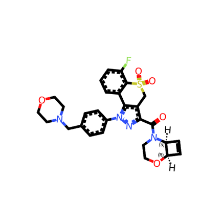 O=C(c1nn(-c2ccc(CN3CCOCC3)cc2)c2c1CS(=O)(=O)c1c(F)cccc1-2)N1CCO[C@@H]2C=C[C@@H]21